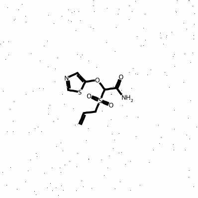 C=CCS(=O)(=O)C(Oc1cncs1)C(N)=O